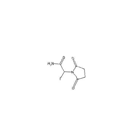 NC(=O)C(I)N1C(=O)CCC1=O